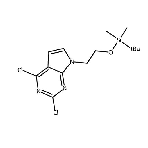 CC(C)(C)[Si](C)(C)OCCn1ccc2c(Cl)nc(Cl)nc21